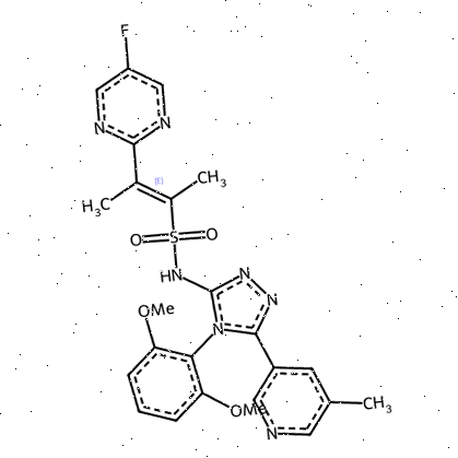 COc1cccc(OC)c1-n1c(NS(=O)(=O)/C(C)=C(\C)c2ncc(F)cn2)nnc1-c1cncc(C)c1